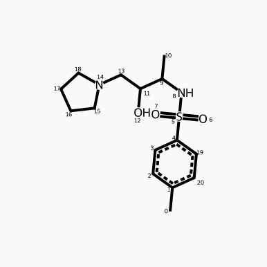 Cc1ccc(S(=O)(=O)NC(C)C(O)CN2CCCC2)cc1